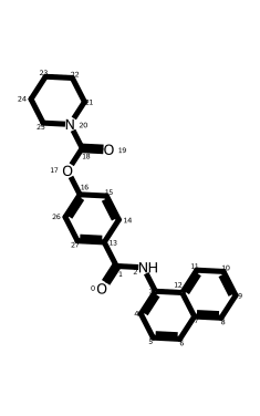 O=C(Nc1cccc2ccccc12)c1ccc(OC(=O)N2CCCCC2)cc1